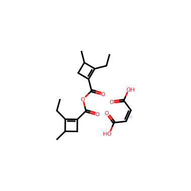 CCC1=C(C(=O)OC(=O)C2=C(CC)C(C)C2)CC1C.O=C(O)/C=C\C(=O)O